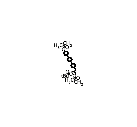 C=C(C)C(=O)OCC(COC(=O)C(C)(C)C)Cc1ccc(-c2ccc(-c3ccc(OC(=O)C(=C)C)cc3)cc2)cc1